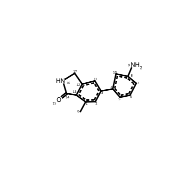 Cc1cc(-c2cccc(N)c2)cc2c1C(=O)NC2